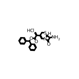 C=C(C(=O)OC(c1ccccc1)c1ccccc1)C1=CN2C(=O)C(N)[C@H]2SC1.Cl